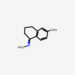 CO/N=C1\CCCc2cc(OC)ccc21